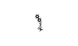 C=C(C)C(=O)OCCCOc1ccc(-c2ccccc2)cc1